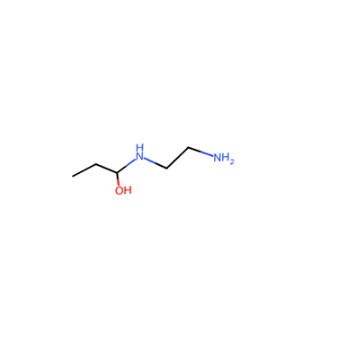 CCC(O)NCCN